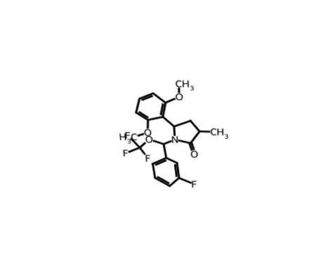 COc1cccc(OC)c1C1CC(C)C(=O)N1C(OC(F)(F)F)c1cccc(F)c1